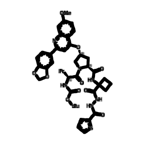 COc1ccc2c(O[C@@H]3C[C@@H](C(=O)NC4(C(=O)NNC(=O)c5cccs5)CCC4)N(C(=O)[C@@H](NC(=O)OC(C)(C)C)C(C)C)C3)cc(-c3ccc4c(c3)OCO4)nc2c1